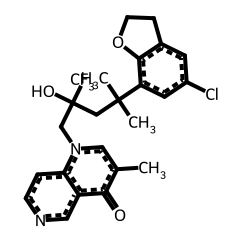 Cc1cn(CC(O)(CC(C)(C)c2cc(Cl)cc3c2OCC3)C(F)(F)F)c2ccncc2c1=O